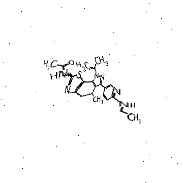 CCNc1ccc(-c2nn(C(C)C)c3c2C(C)Cc2nc(NC(C)=O)sc2-3)cn1